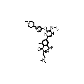 Cc1cc(-c2cnc(N)c(Oc3cnn(C4CCN(C)CC4)c3)n2)cc(C(F)F)c1C(=O)NCCN(C)C